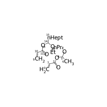 C=CC(=O)OC(C)OCCC.C=CC(=O)OC(CCCCCCC)OCC